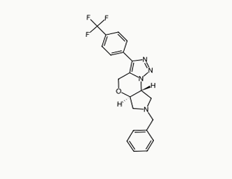 FC(F)(F)c1ccc(-c2nnn3c2CO[C@@H]2CN(Cc4ccccc4)C[C@H]23)cc1